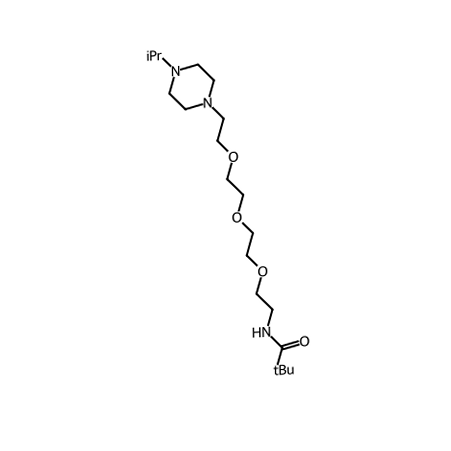 CC(C)N1CCN(CCOCCOCCOCCNC(=O)C(C)(C)C)CC1